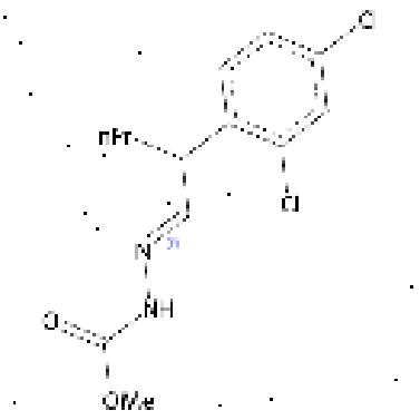 CCCC(/C=N/NC(=O)OC)c1ccc(Cl)cc1Cl